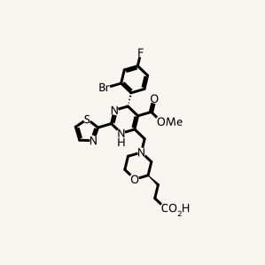 COC(=O)C1=C(CN2CCO[C@H](CCC(=O)O)C2)NC(c2nccs2)=N[C@@H]1c1ccc(F)cc1Br